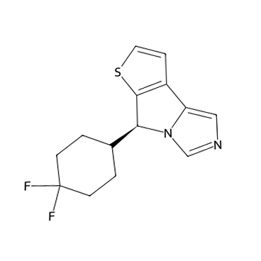 FC1(F)CCC([C@H]2c3sccc3-c3cncn32)CC1